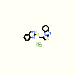 C1=C(CSC2=Nc3ccccc3CN2)N2C(=NC3CCCCC32)S1.Cl.Cl